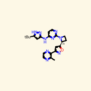 Cc1nccnc1-c1cc([C@@H]2CCN2c2nccc(Nc3cc(C(C)(C)C)[nH]n3)n2)on1